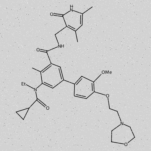 CCN(C(=O)C1CC1)c1cc(-c2ccc(OCCN3CCOCC3)c(OC)c2)cc(C(=O)NCc2c(C)cc(C)[nH]c2=O)c1C